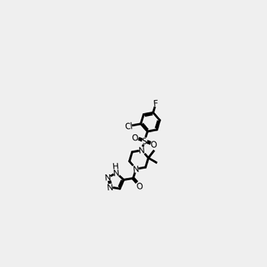 CC1(C)CN(C(=O)c2cnn[nH]2)CCN1S(=O)(=O)c1ccc(F)cc1Cl